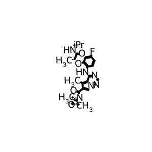 Cc1c(C(=O)N=S(C)(C)=O)cn2ncnc(Nc3ccc(F)cc3O[C@H](C)C(=O)NC(C)C)c12